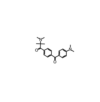 CN(C)c1ccc(C(=O)c2ccc(C(=O)C(C)(C)N(C)C)cc2)cc1